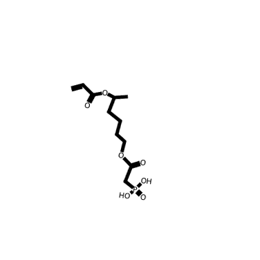 C=CC(=O)OC(C)CCCCOC(=O)CP(=O)(O)O